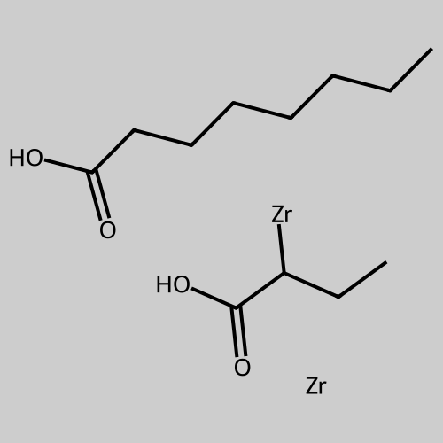 CCCCCCCC(=O)O.CC[CH]([Zr])C(=O)O.[Zr]